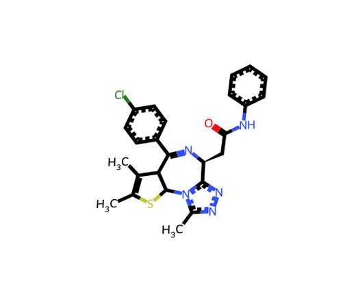 CC1=C(C)C2C(c3ccc(Cl)cc3)=N[C@@H](CC(=O)Nc3ccccc3)c3nnc(C)n3C2S1